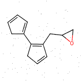 C1=CCC(C2=C(CC3CO3)C=CC2)=C1